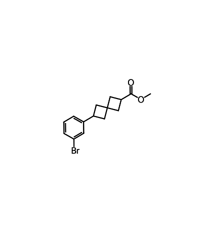 COC(=O)C1CC2(C1)CC(c1cccc(Br)c1)C2